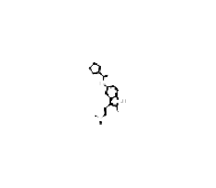 Cc1[nH]c2ccc(NC(=O)C3CCCC3)cc2c1CCN(C)C